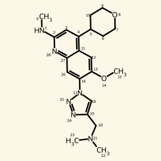 CNc1cc(C2CCOCC2)c2cc(OC)c(-n3cc(CN(C)C)nn3)cc2n1